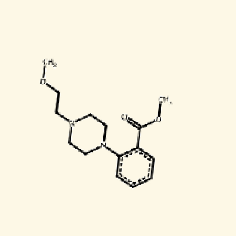 COCCN1CCN(c2ccccc2C(=O)OC)CC1